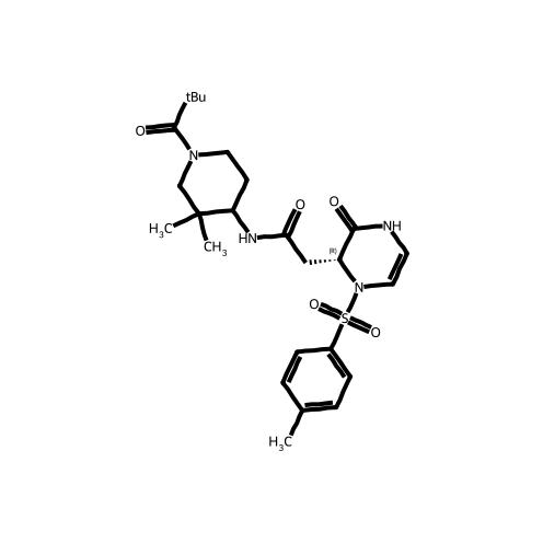 Cc1ccc(S(=O)(=O)N2C=CNC(=O)[C@H]2CC(=O)NC2CCN(C(=O)C(C)(C)C)CC2(C)C)cc1